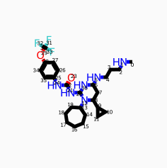 CNCCCNC1CC(C2CC2)N(C2CCCCCC2)C(NC(=O)Nc2ccc(OC(F)(F)F)cc2)N1